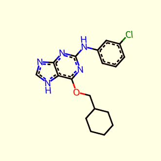 Clc1cccc(Nc2nc(OCC3CCCCC3)c3[nH]cnc3n2)c1